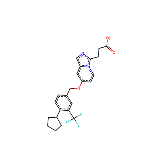 O=C(O)CCc1ncc2cc(OCc3ccc(C4CCCC4)c(C(F)(F)F)c3)ccn12